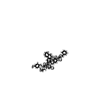 N#CCN(C(=O)NCc1ccc(F)cc1)N1CC(=O)N2[C@@H](Cc3ccc(NC(=O)OCc4ccccc4)cc3)C(=O)N(Cc3cccc4ccccc34)C[C@@H]21